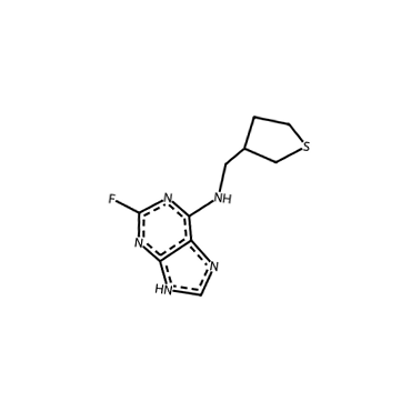 Fc1nc(NCC2CCSC2)c2nc[nH]c2n1